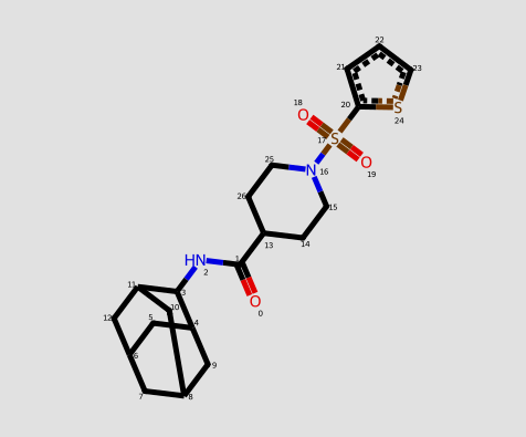 O=C(NC1C2CC3CC(C2)CC1C3)C1CCN(S(=O)(=O)c2cccs2)CC1